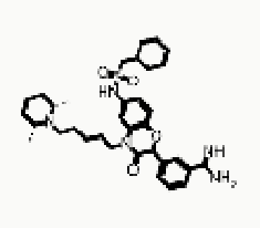 C[C@@H]1CCC[C@H](C)N1CCCCCN1C(=O)C(c2cccc(C(=N)N)c2)Oc2ccc(NS(=O)(=O)CC3CCCCC3)cc21